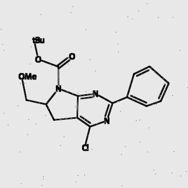 COCC1Cc2c(Cl)nc(-c3ccccc3)nc2N1C(=O)OC(C)(C)C